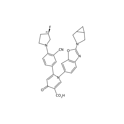 N#Cc1cc(-c2cc(=O)c(C(=O)O)cn2-c2ccc3nc(N4CC5CC5C4)oc3c2)ccc1N1CC[C@@H](F)C1